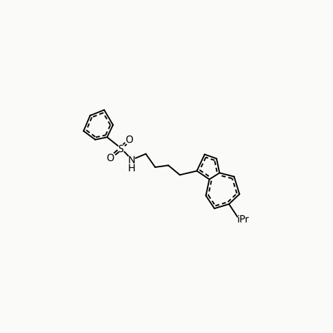 CC(C)c1ccc2ccc(CCCCNS(=O)(=O)c3ccccc3)c-2cc1